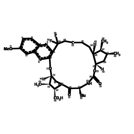 COc1ccc2nc3c(nc2c1)O[C@H]1CN(C(=O)[C@H](C(C)(C)C)NC(=O)O[C@@H]2C[C@H](C)[C@H](C)[C@H]2CCCCC3(F)F)[C@H](C(=O)O)[C@@H]1C